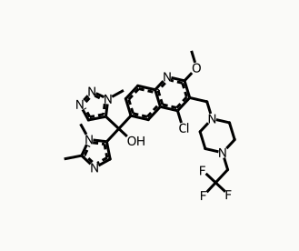 COc1nc2ccc(C(O)(c3cnnn3C)c3cnc(C)n3C)cc2c(Cl)c1CN1CCN(CC(F)(F)F)CC1